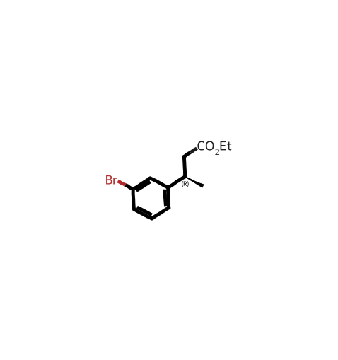 CCOC(=O)C[C@@H](C)c1cccc(Br)c1